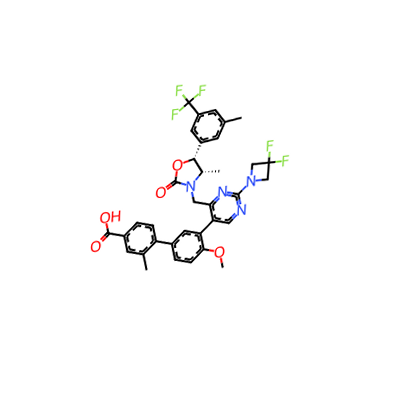 COc1ccc(-c2ccc(C(=O)O)cc2C)cc1-c1cnc(N2CC(F)(F)C2)nc1CN1C(=O)O[C@H](c2cc(C)cc(C(F)(F)F)c2)[C@@H]1C